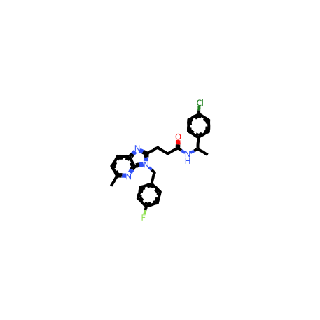 Cc1ccc2nc(CCC(=O)NC(C)c3ccc(Cl)cc3)n(Cc3ccc(F)cc3)c2n1